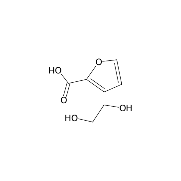 O=C(O)c1ccco1.OCCO